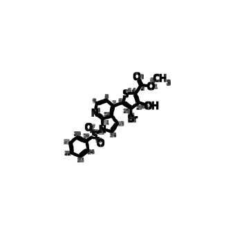 COC(=O)c1sc(-c2ccnc3c2ccn3S(=O)(=O)c2ccccc2)c(Br)c1O